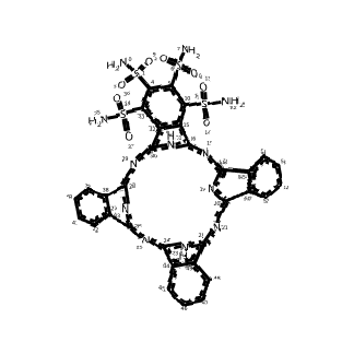 NS(=O)(=O)c1c(S(N)(=O)=O)c(S(N)(=O)=O)c2c3nc4nc(nc5[nH]c(nc6nc(nc([nH]3)c2c1S(N)(=O)=O)-c1ccccc1-6)c1ccccc51)-c1ccccc1-4